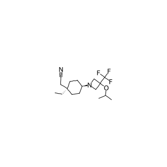 CC[C@]1(CC#N)CC[C@@H](N2CC(OC(C)C)(C(F)(F)F)C2)CC1